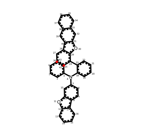 c1ccc(N(c2ccc3c(c2)oc2ccccc23)c2ccccc2-c2cccc3c2oc2cc4ccccc4cc23)cc1